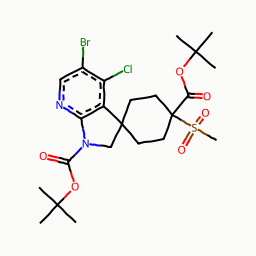 CC(C)(C)OC(=O)N1CC2(CCC(C(=O)OC(C)(C)C)(S(C)(=O)=O)CC2)c2c1ncc(Br)c2Cl